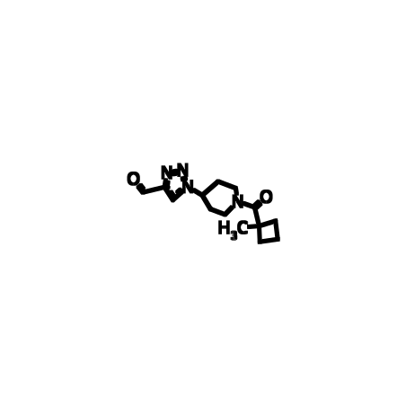 CC1(C(=O)N2CCC(n3cc(C=O)nn3)CC2)CCC1